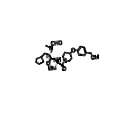 CN(C=O)C[C@@H](CC1CCCC1)C(=O)N[C@H](C(=O)N1CCC(Oc2ccc(CO)cc2)CC1)C(C)(C)C